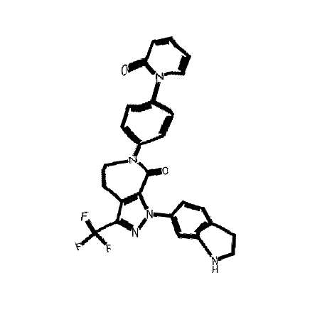 O=C1c2c(c(C(F)(F)F)nn2-c2ccc3c(c2)NCC3)CCN1c1ccc(-n2ccccc2=O)cc1